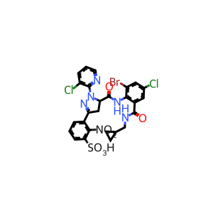 O=C(NCC1CC1)c1cc(Cl)cc(Br)c1NC(=O)C1CC(c2cccc(S(=O)(=O)O)c2[N+](=O)[O-])=NN1c1ncccc1Cl